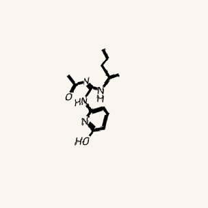 CCCC(C)N/C(=N/C(C)=O)Nc1cccc(O)n1